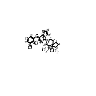 CC1(N)CCCC12CCN(c1ncc(Sc3cccc(Cl)c3Cl)c3nccn13)CC2